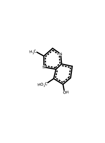 Cc1cnc2ccc(O)c(C(=O)O)c2n1